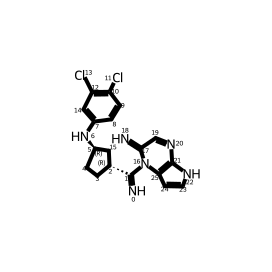 N=C([C@@H]1CC[C@@H](Nc2ccc(Cl)c(Cl)c2)C1)n1c(=N)cnc2[nH]ccc21